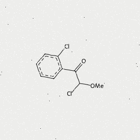 COC(Cl)C(=O)c1ccccc1Cl